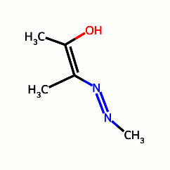 C/N=N/C(C)=C(/C)O